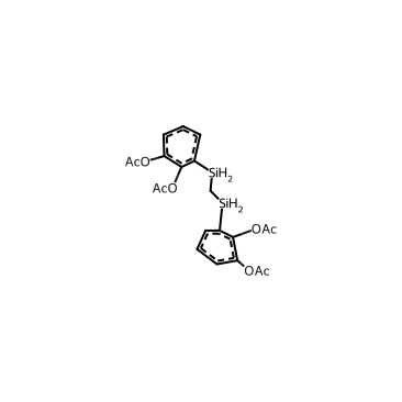 CC(=O)Oc1cccc([SiH2]C[SiH2]c2cccc(OC(C)=O)c2OC(C)=O)c1OC(C)=O